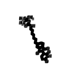 CC(C)(C)OC(=O)NCCCCCCCc1ccc2c(c1)C(=O)N(C1CCC(=O)NC1=O)C2=O